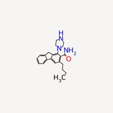 CCCCc1cc2c(c(N3CCNCC3)c1C(N)=O)Cc1ccccc1-2